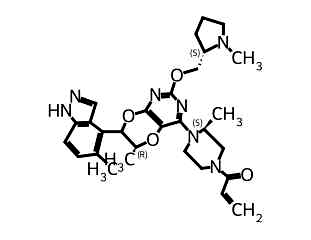 C=CC(=O)N1CCN(c2nc(OC[C@@H]3CCCN3C)nc3c2O[C@H](C)C(c2c(C)ccc4[nH]ncc24)O3)[C@@H](C)C1